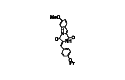 COc1ccc(C=c2[nH]c(=O)c(=Cc3ccc(OC(C)C)cc3)[nH]c2=O)cc1